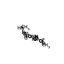 CNCCN1CCN(C(=O)c2ccc(Nc3nccn4c(-c5ccc(OC)c(F)c5)cnc34)cc2Cl)CC1